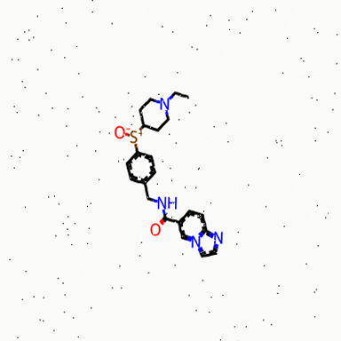 CCN1CCC([S+]([O-])c2ccc(CNC(=O)c3ccc4nccn4c3)cc2)CC1